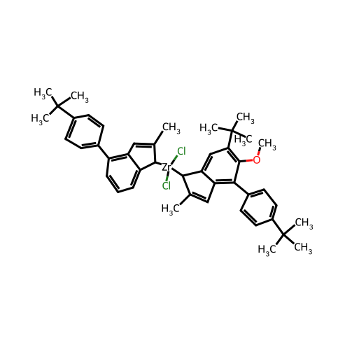 COc1c(C(C)(C)C)cc2c(c1-c1ccc(C(C)(C)C)cc1)C=C(C)[CH]2[Zr]([Cl])([Cl])[CH]1C(C)=Cc2c(-c3ccc(C(C)(C)C)cc3)cccc21